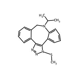 CSn1nnc2c1-c1ccccc1N(C(C)C)Cc1ccccc1-2